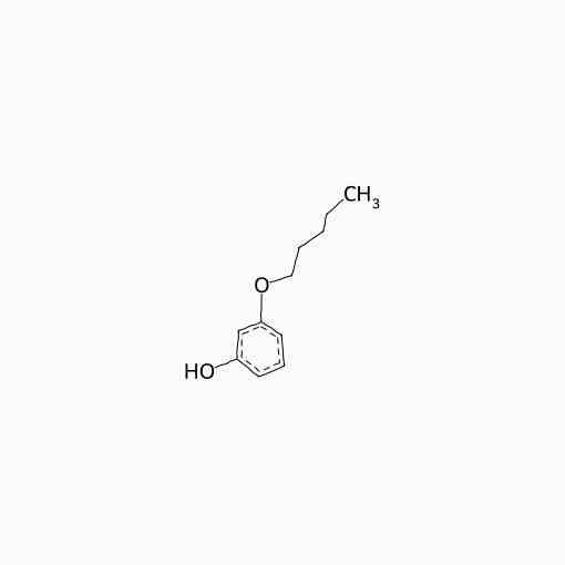 CCCCCOc1cccc(O)c1